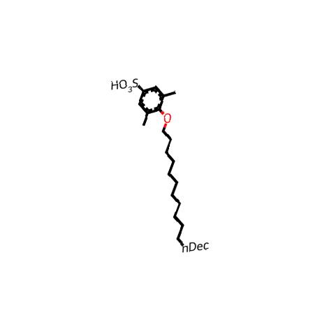 CCCCCCCCCCCCCCCCCCCCCOc1c(C)cc(S(=O)(=O)O)cc1C